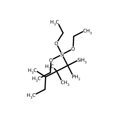 CCO[Si](OCC)(OCC)C([SiH3])(P)C(C)(C)C(C)CC